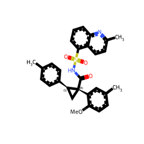 COc1ccc(C)cc1[C@@]1(C(=O)NS(=O)(=O)c2cccc3nc(C)ccc23)C[C@H]1c1ccc(C)cc1